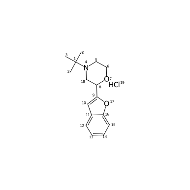 CC(C)(C)N1CCOC(c2cc3ccccc3o2)C1.Cl